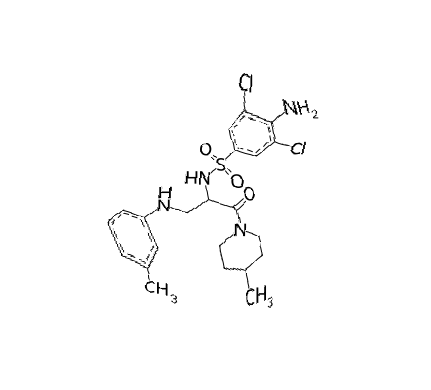 Cc1cccc(NCC(NS(=O)(=O)c2cc(Cl)c(N)c(Cl)c2)C(=O)N2CCC(C)CC2)c1